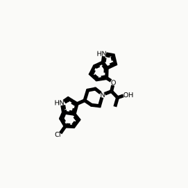 CC(O)C(Oc1cccc2[nH]ccc12)N1CCC(c2c[nH]c3cc(Cl)ccc23)CC1